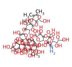 CC1C(O)[C@H](OC2OC(CO)[C@H](O)[C@H](O[C@]3(C(=O)O)C[C@@H](O)[C@@H](N)C(C(O)C(O)CO)O3)C2O)[C@H](CO)O[C@H]1O[C@@H]1C(O)[C@H](O)C(CO)O[C@@H]1OCC1O[C@@H](O[C@@H]2C(CO)O[C@@H](O[C@@H]3C(CO)O[C@@H](C)[C@@H](C)C3O)[C@@H](C)C2O)[C@H](O)C(O[C@H]2O[C@H](CO)[C@@H](O)C(O)C2O[C@@H]2OC(CO)[C@@H](O)C(O)[C@@H]2C)[C@@H]1O